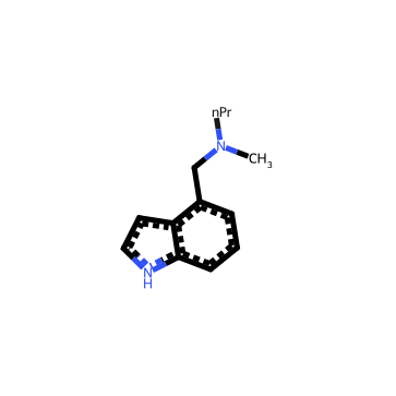 CCCN(C)Cc1cccc2[nH]ccc12